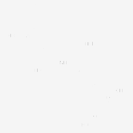 COc1ccccc1CCC(C)NCCc1ccc(OC)c(OC)c1.Cl